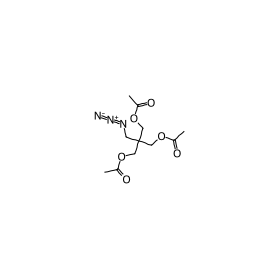 CC(=O)OCC(CN=[N+]=[N-])(COC(C)=O)COC(C)=O